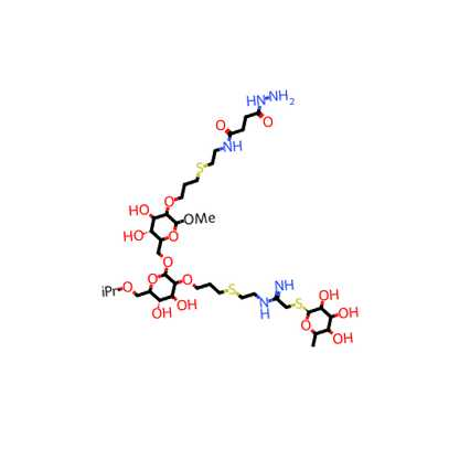 COC1OC(COC2OC(COC(C)C)[C@@H](O)C(O)C2OCCCSCCNC(=N)CS[C@@H]2OC(C)C(O)C(O)C2O)[C@H](O)C(O)C1OCCCSCCNC(=O)CCC(=O)NN